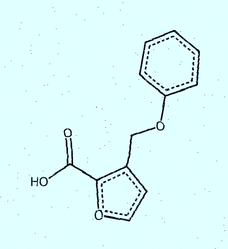 O=C(O)c1occc1COc1ccccc1